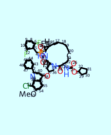 CCOP(=O)(Cc1c(F)cccc1F)[C@@]12C[C@H]1/C=C\CCCCC[C@H](NC(=O)OC1CCCC1)C(=O)N1C[C@H](Oc3cc(-c4ccccc4)nc4c(Cl)c(OC)ccc34)C[C@H]1C(=O)N2